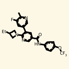 CCC1CN(c2ncc(C(=O)Nc3ccc(OC(F)(F)F)cc3)cc2-c2cnc(C)c(F)c2)C1